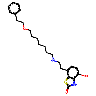 O=c1[nH]c2c(O)ccc(CCNCCCCCCCOCCc3ccccc3)c2s1